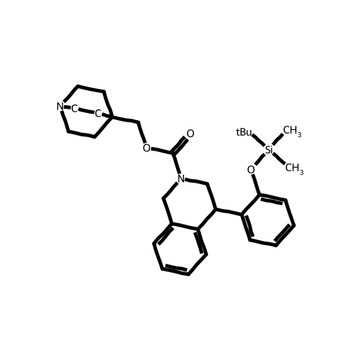 CC(C)(C)[Si](C)(C)Oc1ccccc1C1CN(C(=O)OCC23CCN(CC2)CC3)Cc2ccccc21